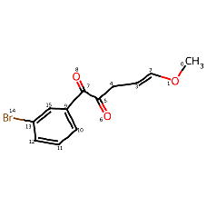 COC=CCC(=O)C(=O)c1cccc(Br)c1